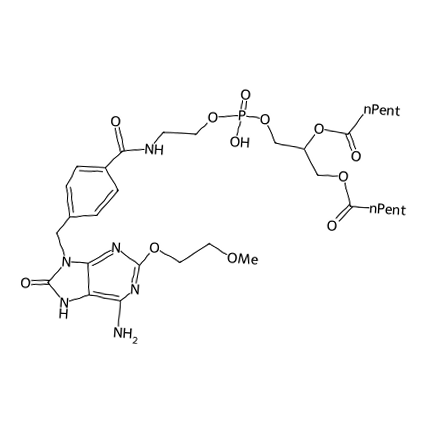 CCCCCC(=O)OCC(COP(=O)(O)OCCNC(=O)c1ccc(Cn2c(=O)[nH]c3c(N)nc(OCCOC)nc32)cc1)OC(=O)CCCCC